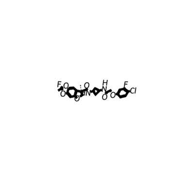 CC1(F)Oc2cc3c(cc2O1)[C@@](C)(C(=O)NC12CC(NC(=O)COc4ccc(Cl)c(F)c4)(C1)C2)CO3